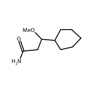 COC(CC(N)=O)C1CCCCC1